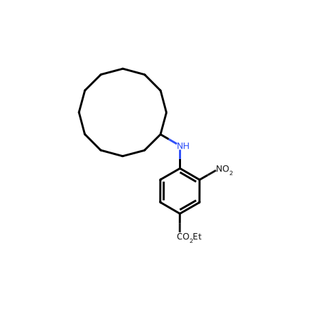 CCOC(=O)c1ccc(NC2CCCCCCCCCCC2)c([N+](=O)[O-])c1